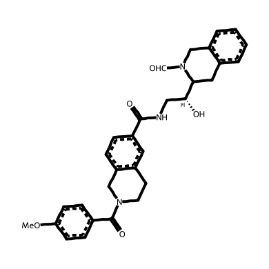 COc1ccc(C(=O)N2CCc3cc(C(=O)NC[C@@H](O)C4Cc5ccccc5CN4C=O)ccc3C2)cc1